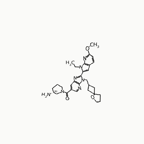 CCn1c(-c2nc3cc(C(=O)N4CCC[C@@H](N)C4)cnc3n2CC2CC3(CCCO3)C2)cc2ccc(OC)nc21